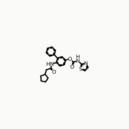 O=C(CC1CCCC1)Nc1ccc(OC(=O)Nc2nccs2)cc1-c1ccccc1